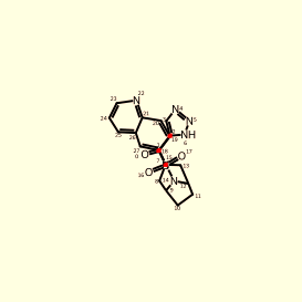 O=C(c1cnn[nH]1)N1CC2CCC(C1)N2S(=O)(=O)c1ccc2ncccc2c1